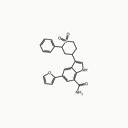 NC(=O)c1cc(-c2ccco2)cc2c(C3CCS(=O)(=O)C(c4ccccc4)C3)c[nH]c12